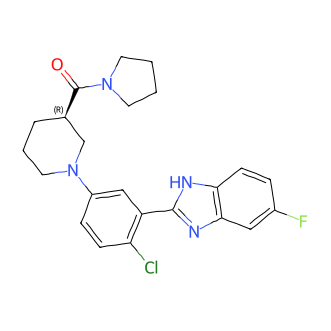 O=C([C@@H]1CCCN(c2ccc(Cl)c(-c3nc4cc(F)ccc4[nH]3)c2)C1)N1CCCC1